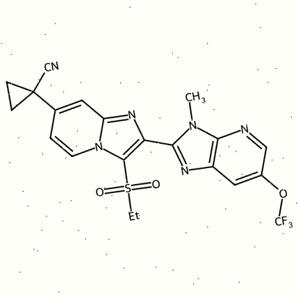 CCS(=O)(=O)c1c(-c2nc3cc(OC(F)(F)F)cnc3n2C)nc2cc(C3(C#N)CC3)ccn12